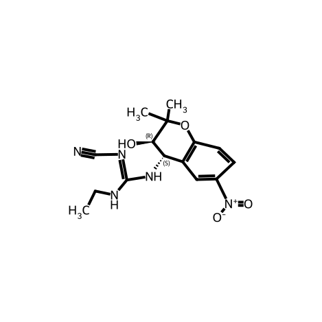 CCNC(=NC#N)N[C@H]1c2cc([N+](=O)[O-])ccc2OC(C)(C)[C@@H]1O